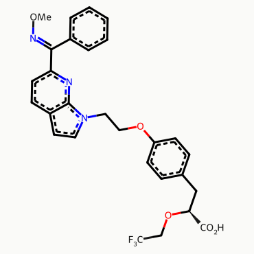 CON=C(c1ccccc1)c1ccc2ccn(CCOc3ccc(C[C@H](OCC(F)(F)F)C(=O)O)cc3)c2n1